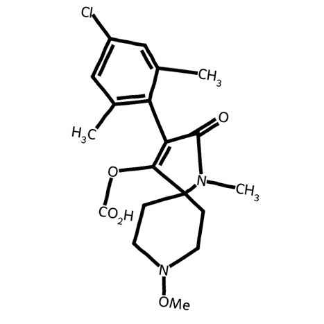 CON1CCC2(CC1)C(OC(=O)O)=C(c1c(C)cc(Cl)cc1C)C(=O)N2C